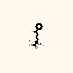 CCC(=O)C(C)(C)CCCC(CC)c1ccccc1